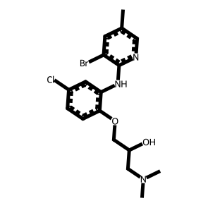 Cc1cnc(Nc2cc(Cl)ccc2OCC(O)CN(C)C)c(Br)c1